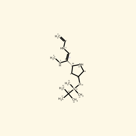 C=CN/C=C(\NC)[C@H]1CC(O[Si](C)(C)C(C)(C)C)CN1